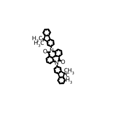 CC1(C)c2ccccc2-c2ccc(-n3c(=O)c4cccc5c4c4c(cccc43)c(=O)n5-c3ccc4c(c3)C(C)(C)c3ccccc3-4)cc21